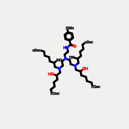 CCCCCCCCCCCCCCC(O)CN(CCN(CCNC(=O)c1ccc(OC)cc1)CCN(CC(O)CCCCCCCCCCCCCC)CC(CCCCCCCCCCCCCC)N=O)CC(CCCCCCCCCCCCCC)N=O